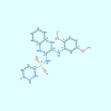 COc1ccc(OC)c(Nc2nc3ccccc3nc2NS(=O)(=O)c2cccnc2)c1